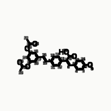 COc1ccc(C=C(C(=O)O)c2ccc(C=Cc3cc(OC(C)=O)cc(OC(C)=O)c3)cc2)cc1